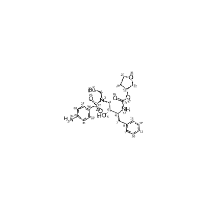 CC[C@H](C)CN(C[C@@H](O)[C@H](Cc1ccccc1)NC(=O)OC1CCOC1)S(=O)(=O)c1ccc(N)cc1